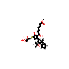 COC(=O)CCCC#CC(O)C1C(=O)C(SCC(O)CO)=CC1C=CC(O[SiH](C)C)(C1CCCC1)C(C)(C)C